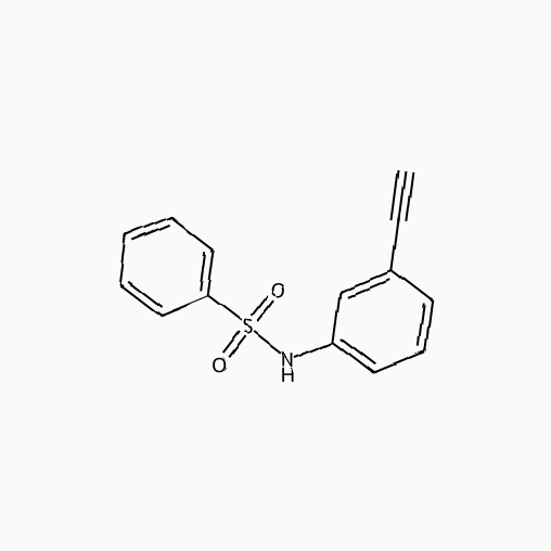 C#Cc1cccc(NS(=O)(=O)c2ccccc2)c1